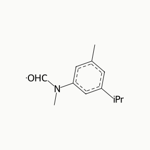 Cc1cc(C(C)C)cc(N(C)[C]=O)c1